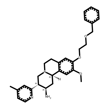 COc1cc2c(cc1OCCOCc1ccccc1)CCN1C[C@@H](c3cc(C)ccn3)[C@H](N)C[C@H]21